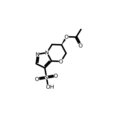 CC(=O)O[C@H]1COc2c(S(=O)(=O)O)cnn2C1